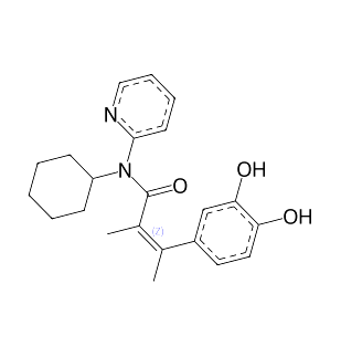 C/C(C(=O)N(c1ccccn1)C1CCCCC1)=C(\C)c1ccc(O)c(O)c1